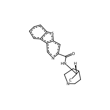 O=C(N[C@H]1CN2CCC1CC2)c1cc2sc3ccccc3c2cn1